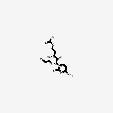 CC(C)C(=O)OCC[C@@H](O)[C@@H](F)[C@@H](OCCCl)n1ccc(N)nc1=O